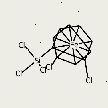 Cl[C]12[CH]3[CH]4[CH]5[CH]1[Fe]45321678[CH]2[CH]1[C]6(Cl)[C]7([Si](Cl)(Cl)Cl)[CH]28